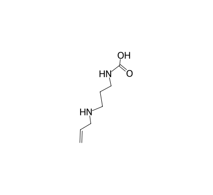 C=CCNCCCNC(=O)O